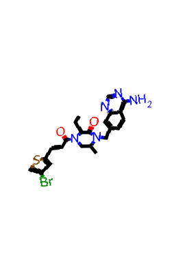 CCC1C(=O)N(Cc2ccc3c(N)ncnc3c2)C(C)CN1C(=O)/C=C/c1cc(Br)cs1